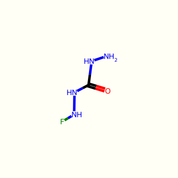 NNC(=O)NNF